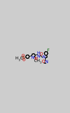 COc1nc(-c2ccc(S(C)(=O)=O)cc2)ccc1CNC(=O)Cn1c(-c2ncco2)cc2cc(F)ccc21